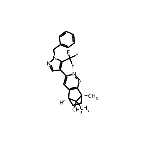 CC1(C)[C@H]2CC[C@]1(C)c1nnc(-c3cnn(Cc4ccccc4)c3C(F)(F)F)cc12